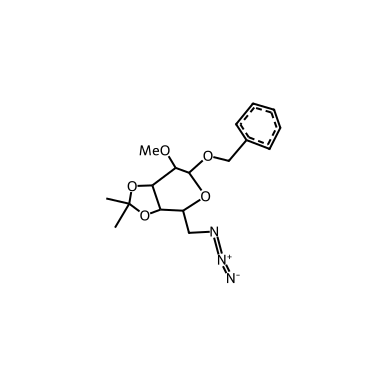 COC1C(OCc2ccccc2)OC(CN=[N+]=[N-])C2OC(C)(C)OC21